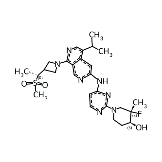 CC(C)c1cnc(N2CC([C@@H](C)S(C)(=O)=O)C2)c2cnc(Nc3ccnc(N4CC[C@H](O)[C@@](C)(F)C4)n3)cc12